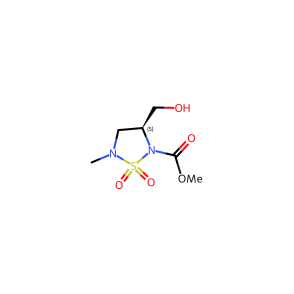 COC(=O)N1[C@H](CO)CN(C)S1(=O)=O